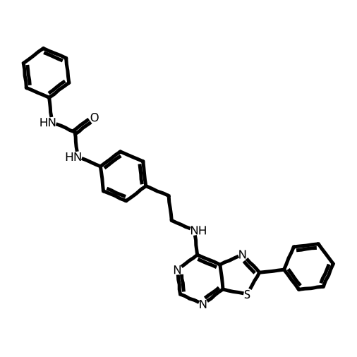 O=C(Nc1ccccc1)Nc1ccc(CCNc2ncnc3sc(-c4ccccc4)nc23)cc1